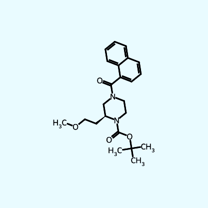 COCC[C@H]1CN(C(=O)c2cccc3ccccc23)CCN1C(=O)OC(C)(C)C